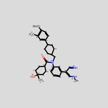 COc1ccc(C2CCC(CN(C(=O)C3CCC(C)(O)CC3)c3cccc(/C(C=N)=C/NC(C)C)c3)CC2)cc1C